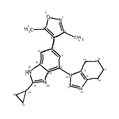 Cc1noc(C)c1-c1cc(-n2cnc3c2CCCC3)c2nc(C3CC3)[nH]c2c1